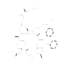 COC(=O)C1(NC(=O)OC(C)(C)C)CCN(C(=O)C(CCCCNC(=O)OC(C)(C)C)NC(=O)C(CCCCC(F)(F)F)NC(=O)C(Cc2ccccc2)NC(=O)C(Cc2ccccc2)NC(=O)OC(C)(C)C)CC1